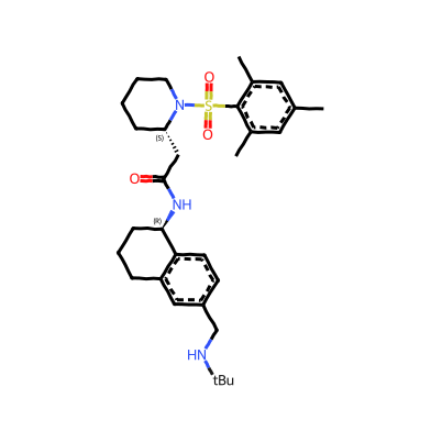 Cc1cc(C)c(S(=O)(=O)N2CCCC[C@H]2CC(=O)N[C@@H]2CCCc3cc(CNC(C)(C)C)ccc32)c(C)c1